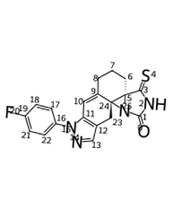 O=C1NC(=S)[C@]23CCCC4=Cc5c(cnn5-c5ccc(F)cc5)C[C@@]42N13